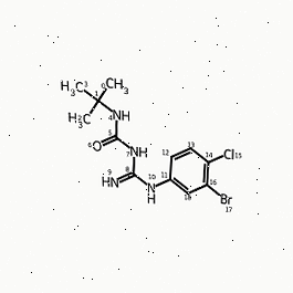 CC(C)(C)NC(=O)NC(=N)Nc1ccc(Cl)c(Br)c1